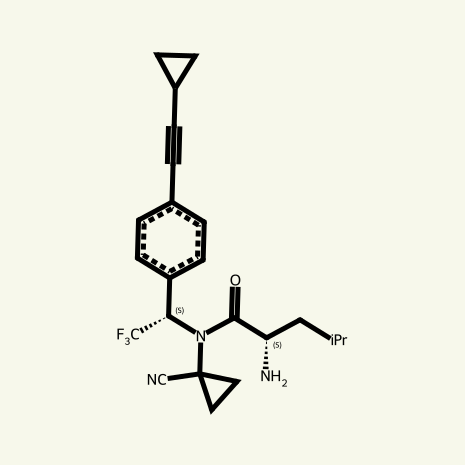 CC(C)C[C@H](N)C(=O)N([C@@H](c1ccc(C#CC2CC2)cc1)C(F)(F)F)C1(C#N)CC1